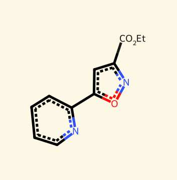 CCOC(=O)c1cc(-c2ccccn2)on1